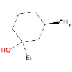 CCC1(O)CCC[C@@H](C)C1